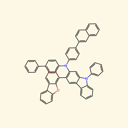 c1ccc(-c2ccc(N(c3ccc(-c4ccc5ccccc5c4)cc3)c3cc4c(cc3-c3cccc5c3oc3ccccc35)c3ccccc3n4-c3ccccc3)cc2)cc1